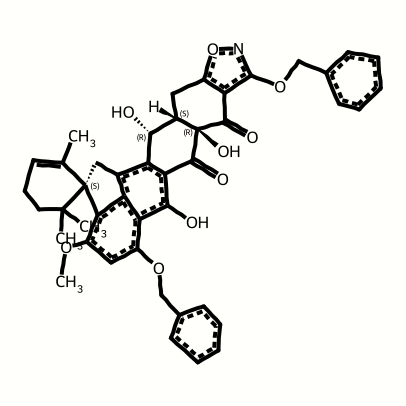 COc1cc(OCc2ccccc2)c2c(O)c3c(c4c2c1[C@]1(C4)C(C)=CCCC1(C)C)[C@H](O)[C@@H]1Cc2onc(OCc4ccccc4)c2C(=O)[C@]1(O)C3=O